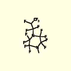 CN1C(F)(F)C(F)(F)N(C(F)(F)C(F)C(F)(F)F)C(F)(F)C1(F)F